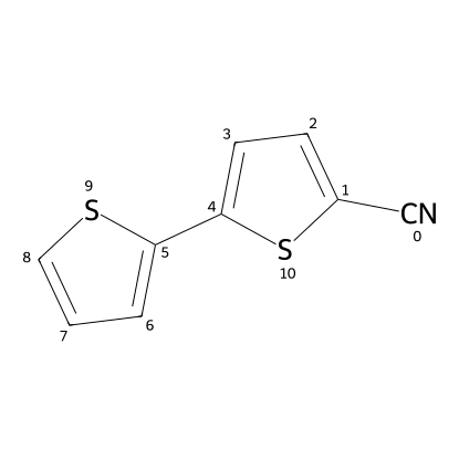 N#Cc1ccc(-c2cccs2)s1